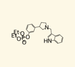 CCOP(=O)(OCC)Oc1cccc(C2CCN(Cc3c[nH]c4ccccc34)C2)c1